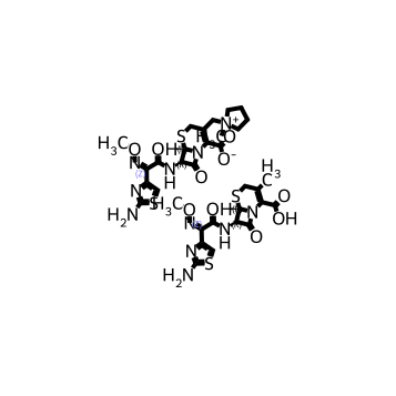 CO/N=C(\C(=O)N[C@@H]1C(=O)N2C(C(=O)O)=C(C)CS[C@H]12)c1csc(N)n1.CO/N=C(\C(=O)N[C@@H]1C(=O)N2C(C(=O)[O-])=C(C[N+]3(C)CCCC3)CS[C@H]12)c1csc(N)n1